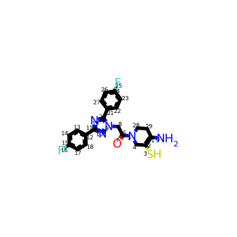 NC1=C(S)CN(C(=O)Cn2nc(-c3ccc(F)cc3)nc2-c2ccc(F)cc2)CC1